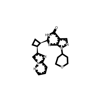 O=c1[nH]c([C@@H]2CC[C@@H]2c2cn3ncccc3n2)nc2c1cnn2C1CCOCC1